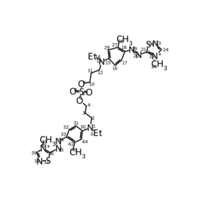 CCN(CCCOS(=O)(=O)OCCCN(CC)c1ccc(/N=N/c2snc[n+]2C)c(C)c1)c1ccc(/N=N/c2snc[n+]2C)c(C)c1